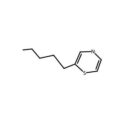 CCCCCC1=C[N]C=CS1